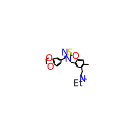 CCN(C)CCc1cc(C)c(Oc2nc(-c3ccc4c(c3)OCCO4)ns2)cc1C